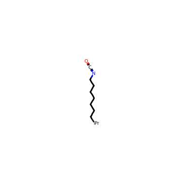 CC(C)CCCCCCCN=C=O